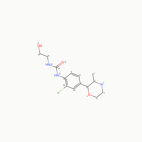 CC1[N]CCOC1c1ccc(NC(=O)NCCO)c(F)c1